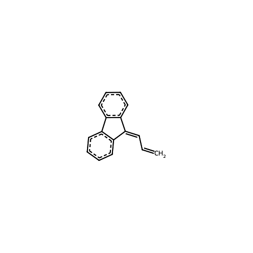 C=CC=C1c2ccccc2-c2ccccc21